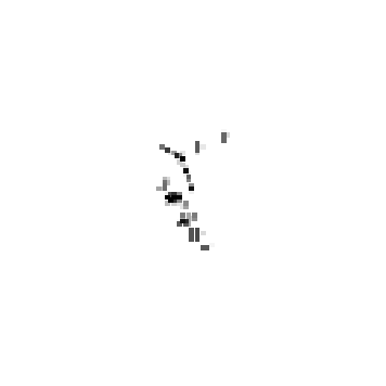 B.CSC.[Al+3].[H-].[H-].[H-].[H-].[Li+]